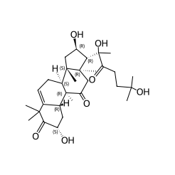 CC(C)(O)CCC(=O)C(C)(O)[C@H]1[C@H](O)C[C@@]2(C)[C@@H]3CC=C4[C@@H](C[C@H](O)C(=O)C4(C)C)[C@]3(C)C(=O)C[C@]12C